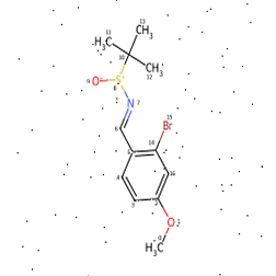 COc1ccc(/C=N/[S+]([O-])C(C)(C)C)c(Br)c1